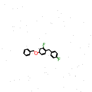 FC1=C(Cc2ccc(F)cc2)C=CC(OCc2ccccc2)[CH]1